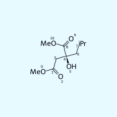 COC(=O)C[C@@](O)(CC(C)C)C(=O)OC